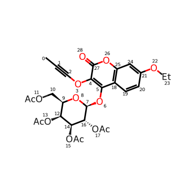 CC#COc1c(O[C@@H]2O[C@H](COC(C)=O)[C@H](OC(C)=O)[C@H](OC(C)=O)[C@H]2OC(C)=O)c2ccc(OCC)cc2oc1=O